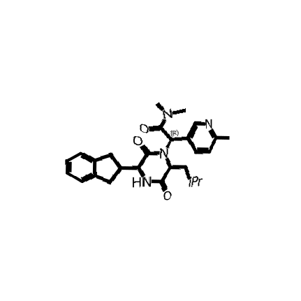 Cc1ccc([C@H](C(=O)N(C)C)N2C(=O)C(C3Cc4ccccc4C3)NC(=O)C2CC(C)C)cn1